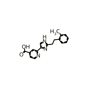 Cc1ccccc1CCc1nc(-c2cc(C(=O)O)ccn2)c[nH]1